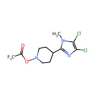 Cn1c(C2CCN(OC(=O)C(F)(F)F)CC2)nc(Cl)c1Cl